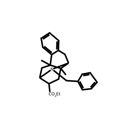 CCOC(=O)C1CC2(C)C3Cc4ccccc4C2(C)CC1N3Cc1ccccc1